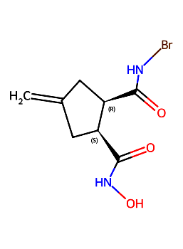 C=C1C[C@H](C(=O)NO)[C@H](C(=O)NBr)C1